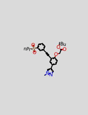 CCCS(=O)(=O)c1cccc(C#Cc2cc(-c3cnn(C)c3)ccc2OCC(=O)OC(C)(C)C)c1